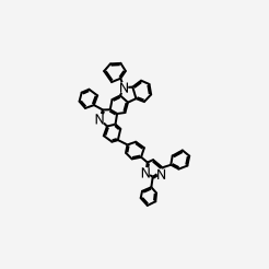 c1ccc(-c2cc(-c3ccc(-c4ccc5nc(-c6ccccc6)c6cc7c(cc6c5c4)c4ccccc4n7-c4ccccc4)cc3)nc(-c3ccccc3)n2)cc1